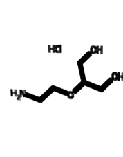 Cl.NCCOC(CO)CO